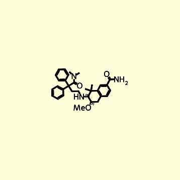 CO[C@H]1Cc2ccc(C(N)=O)cc2C(C)(C)[C@@H]1NCCC(C(=O)N(C)C)(c1ccccc1)c1ccccc1